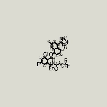 CC[C@H](NC(=O)COC(F)F)c1cc(F)cc(Cl)c1COc1cccc2c(-c3ncnn3C)cc(C)nc12